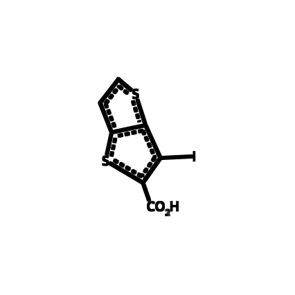 O=C(O)c1sc2ccsc2c1I